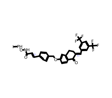 O=C(/C=C/c1ccc(COc2ccc3c(c2)CC/C(=C\c2cc(C(F)(F)F)cc(C(F)(F)F)c2)C3=O)cc1)NOPI